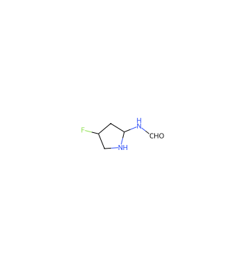 O=CNC1CC(F)CN1